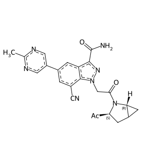 CC(=O)[C@@H]1CC2C[C@H]2N1C(=O)Cn1nc(C(N)=O)c2cc(-c3cnc(C)nc3)cc(C#N)c21